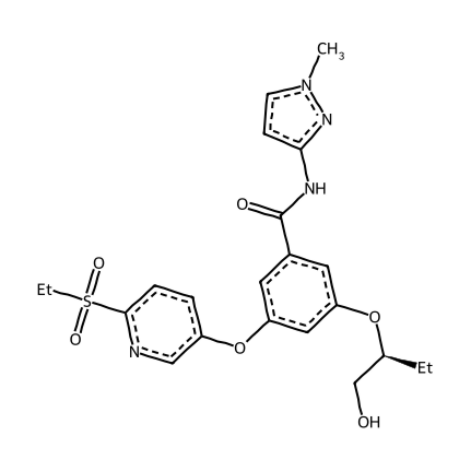 CC[C@@H](CO)Oc1cc(Oc2ccc(S(=O)(=O)CC)nc2)cc(C(=O)Nc2ccn(C)n2)c1